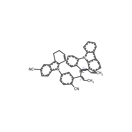 C=C/C=C(\C(=C/C)c1cc(-n2c3c(c4cc(C#N)ccc42)CCC=C3)ccc1C#N)c1ccccc1-n1c2ccccc2c2cccc(C#N)c21